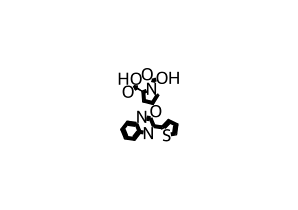 O=C(O)[C@@H]1C[C@@H](Oc2nc3ccccc3nc2-c2cccs2)CN1C(=O)O